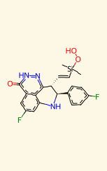 C[Si](C)(/C=C/[C@H]1c2n[nH]c(=O)c3cc(F)cc(c23)N[C@@H]1c1ccc(F)cc1)OO